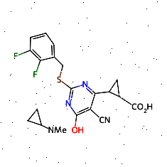 CNC1CC1.N#Cc1c(O)nc(SCc2cccc(F)c2F)nc1C1CC1C(=O)O